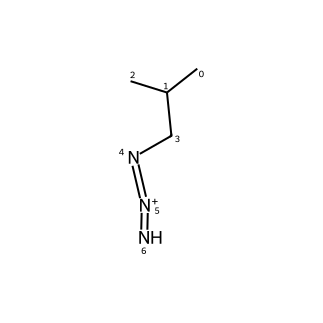 CC(C)CN=[N+]=N